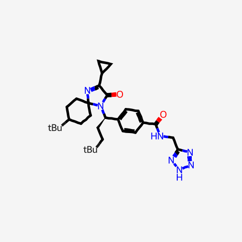 CC(C)(C)CC[C@H](c1ccc(C(=O)NCc2nn[nH]n2)cc1)N1C(=O)C(C2CC2)=NC12CCC(C(C)(C)C)CC2